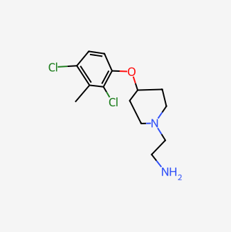 Cc1c(Cl)ccc(OC2CCN(CCN)CC2)c1Cl